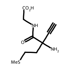 C#CC(N)(CCSC)C(=O)NCC(=O)O